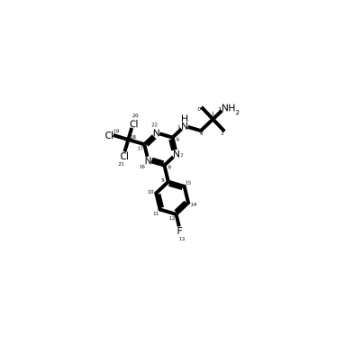 CC(C)(N)CNc1nc(-c2ccc(F)cc2)nc(C(Cl)(Cl)Cl)n1